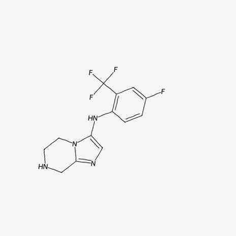 Fc1ccc(Nc2cnc3n2CCNC3)c(C(F)(F)F)c1